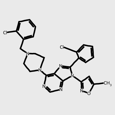 Cc1cc(-n2c(-c3ccccc3Cl)nc3c(N4CCN(Cc5ccccc5Cl)CC4)ncnc32)no1